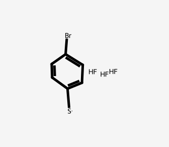 F.F.F.[S]c1ccc(Br)cc1